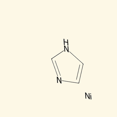 [Ni].c1c[nH]cn1